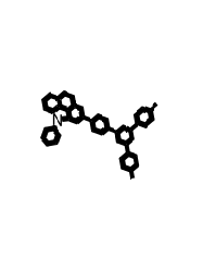 Cc1ccc(-c2cc(-c3ccc(C)cc3)cc(-c3ccc(-c4cc5ccc6cccc7c6c5c(c4)n7-c4ccccc4)cc3)c2)cc1